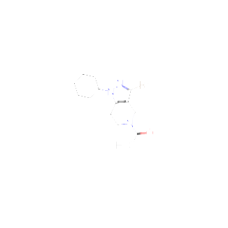 CC(=O)N1CCc2c(c(Br)nn2C2CCCCC2)C1